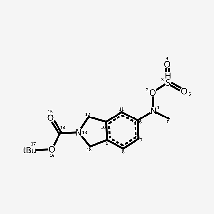 CN(O[SH](=O)=O)c1ccc2c(c1)CN(C(=O)OC(C)(C)C)C2